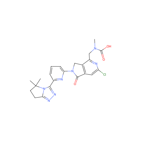 CN(Cc1nc(Cl)cc2c1CN(c1cccc(-c3nnc4n3C(C)(C)CC4)n1)C2=O)C(=O)O